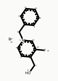 OCc1cc[n+](Cc2ccccc2)cc1F.[Br-]